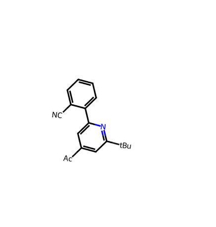 CC(=O)c1cc(-c2ccccc2C#N)nc(C(C)(C)C)c1